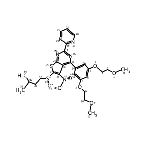 COCCOc1cc(OCCOC)cc(-c2nc(-c3ncccn3)nc3sc([S+]([O-])CCC(C)C)c([N+](=O)[O-])c23)c1